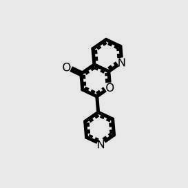 O=c1cc(-c2ccncc2)oc2ncccc12